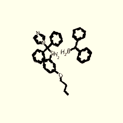 BC(c1ccccc1)c1ccccc1.CCCCOc1cccc([SiH2]C(c2ccccc2)(c2ccccc2)n2ccnc2)c1